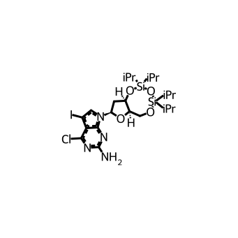 CC(C)[Si]1(C(C)C)OC[C@H]2O[C@@H](n3cc(I)c4c(Cl)nc(N)nc43)C[C@H]2O[Si](C(C)C)(C(C)C)O1